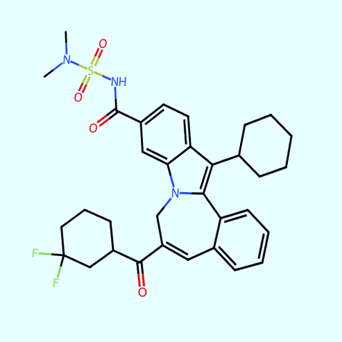 CN(C)S(=O)(=O)NC(=O)c1ccc2c(C3CCCCC3)c3n(c2c1)CC(C(=O)C1CCCC(F)(F)C1)=Cc1ccccc1-3